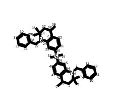 CC1CC(C)(C)N(Cc2ccccc2)c2cc([Si](C)(C)c3ccc4c(c3)N(Cc3ccccc3)C(C)(C)CC4C)ccc21